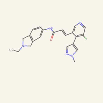 Cn1cc(-c2c(F)cncc2C=CC(=O)Nc2ccc3c(c2)CN(CC(F)(F)F)C3)cn1